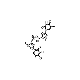 CC[C@H]1O[C@@H](n2cc(C)c(=O)[nH]c2=O)C[C@@H]1OP(=O)(O)OC[C@H]1O[C@@H](n2cc(C)c(=O)[nH]c2=O)C[C@@H]1C